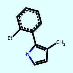 CCc1ccccc1C1=C(C)C=C[N]1